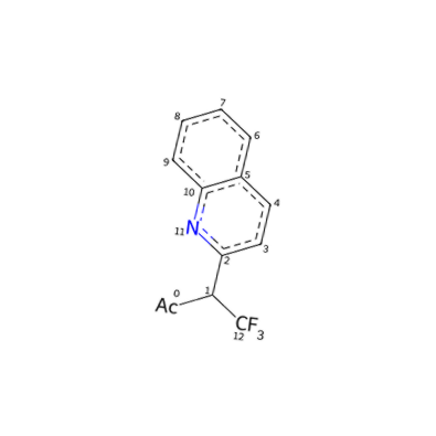 CC(=O)C(c1ccc2ccccc2n1)C(F)(F)F